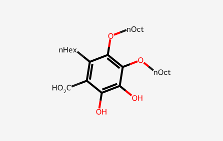 CCCCCCCCOc1c(O)c(O)c(C(=O)O)c(CCCCCC)c1OCCCCCCCC